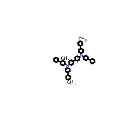 Cc1ccc(-c2ccc(N(C3=CC(C)C(c4ccccc4)C=C3)c3ccc(-c4ccc(N(c5ccc(-c6ccccc6)cc5)c5ccc(-c6ccc(C)cc6)cc5)cc4)cc3)cc2)cc1